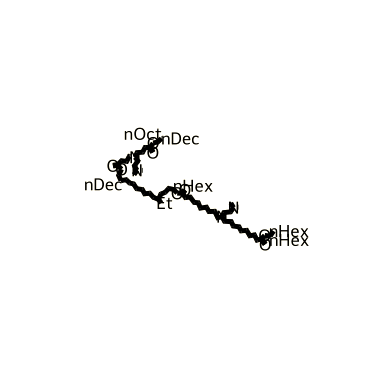 CCCCCCCCCCC(CCCCCCCC)COC(=O)CCCN(CCCC(=O)OCC(CCCCCCCCCC)CCCCCCCCC(CC)CCCC(CCCCCC)OC(=O)CCCCCCCCCN(CCCCCCCCCC(=O)OC(CCCCCC)CCCCCC)CCN(C)C)CCN(C)C